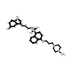 CN1CCN(CCCOc2ccc(S(=O)(=O)NCCCc3c[nH]c4ccc(Cl)cc34)c3ccccc23)CC1